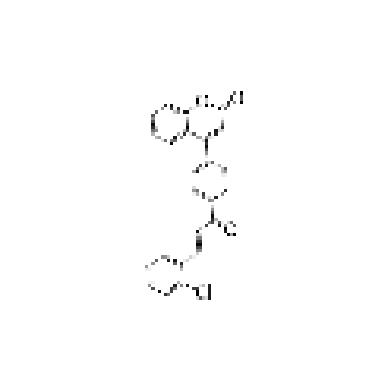 O=C(C=Cc1ccccc1Cl)c1ccc(-c2cc(=O)oc3ccccc23)cc1